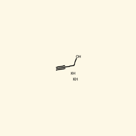 C#CCO.[KH].[KH]